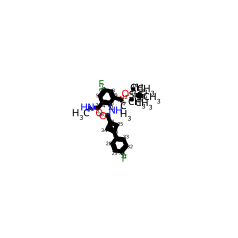 CNC(=O)c1cc(F)cc(C(C)O[Si](C)(C)C(C)(C)C)c1NC(=O)C12CC(c3ccc(F)cc3)(C1)C2